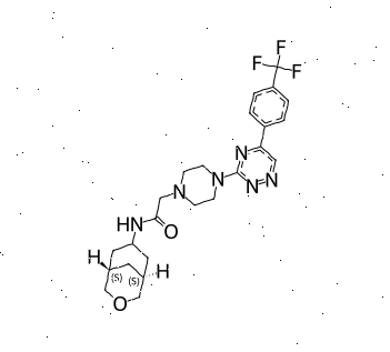 O=C(CN1CCN(c2nncc(-c3ccc(C(F)(F)F)cc3)n2)CC1)NC1C[C@H]2COC[C@H](C1)C2